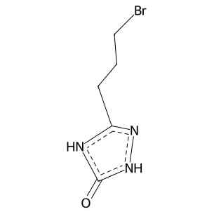 O=c1[nH]nc(CCCBr)[nH]1